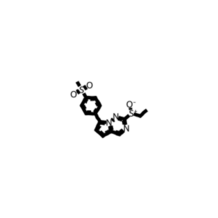 CC[S+]([O-])c1ncc2ccc(-c3ccc(S(C)(=O)=O)cc3)n2n1